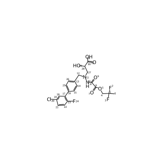 CC(F)(F)COC(=O)C(=O)NN(Cc1ccc(-c2cc(Cl)ccc2F)cc1)CC(O)C(=O)O